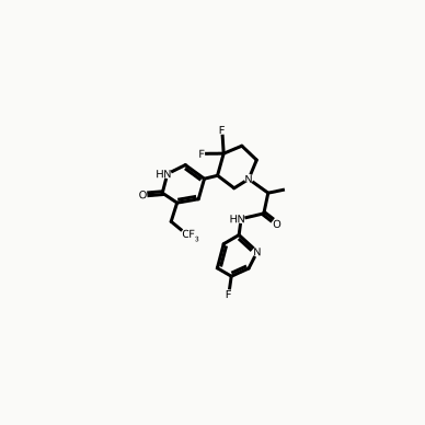 CC(C(=O)Nc1ccc(F)cn1)N1CCC(F)(F)C(c2c[nH]c(=O)c(CC(F)(F)F)c2)C1